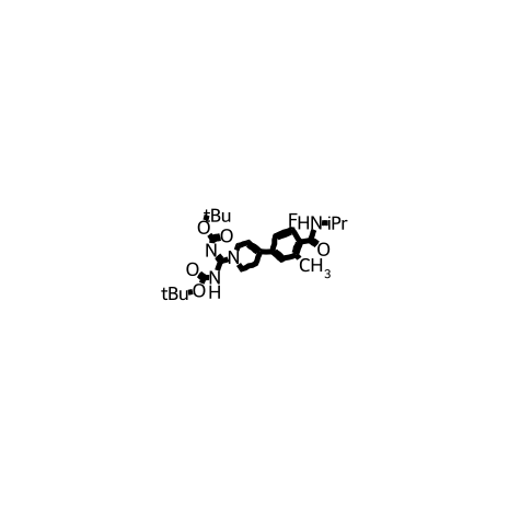 Cc1cc(C2=CCN(/C(=N\C(=O)OC(C)(C)C)NC(=O)OC(C)(C)C)CC2)cc(F)c1C(=O)NC(C)C